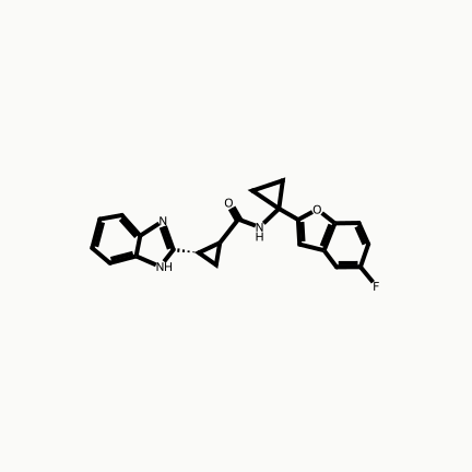 O=C(NC1(c2cc3cc(F)ccc3o2)CC1)C1C[C@@H]1c1nc2ccccc2[nH]1